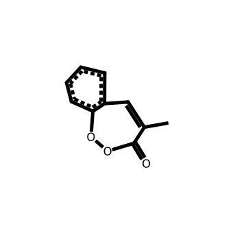 CC1=Cc2ccccc2OOC1=O